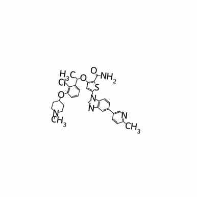 Cc1ccc(-c2ccc3c(c2)ncn3-c2cc(OC(C)c3cccc(OC4CCN(C)CC4)c3Cl)c(C(N)=O)s2)cn1